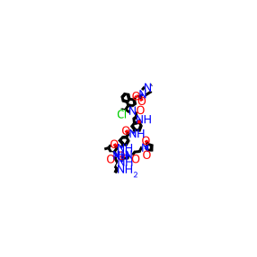 C=C(N)C[C@H](NC(=O)CNC(=O)CCCN1C(=O)C=CC1=O)C(=O)N[C@@H](CC(C)C)C(=O)Nc1ccc(C(=O)Nc2ccc3[nH]c(C(=O)N4C[C@@H](CCl)c5c4cc(OC(=O)N4CCN(C)CC4)c4ccccc54)cc3c2)cc1